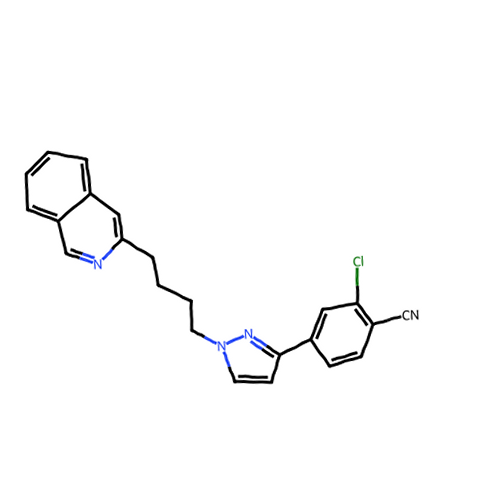 N#Cc1ccc(-c2ccn(CCCCc3cc4ccccc4cn3)n2)cc1Cl